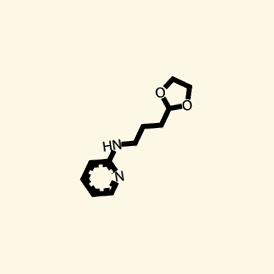 c1ccc(NCCCC2OCCO2)nc1